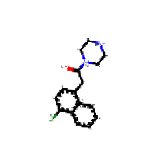 O=C(Cc1ccc(Cl)c2ccccc12)N1CCNCC1